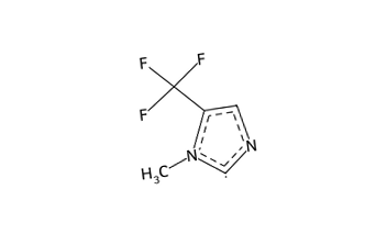 Cn1[c]ncc1C(F)(F)F